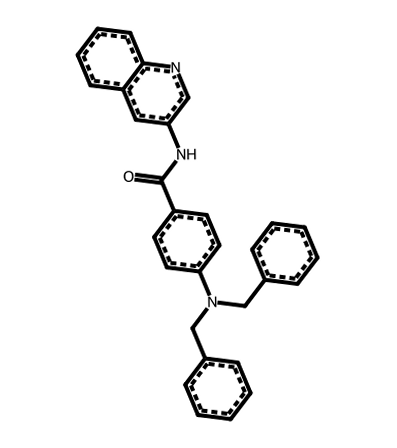 O=C(Nc1cnc2ccccc2c1)c1ccc(N(Cc2ccccc2)Cc2ccccc2)cc1